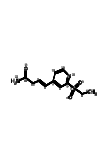 CCS(=O)(=O)c1cc(C=CCC(N)=O)ccn1